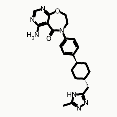 Cc1nnc(C[C@H]2CC[C@H](c3ccc(N4CCOc5ncnc(N)c5C4=O)cc3)CC2)[nH]1